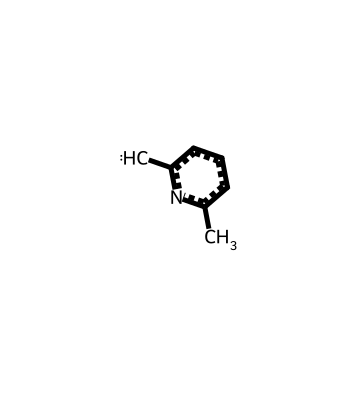 [CH]c1cccc(C)n1